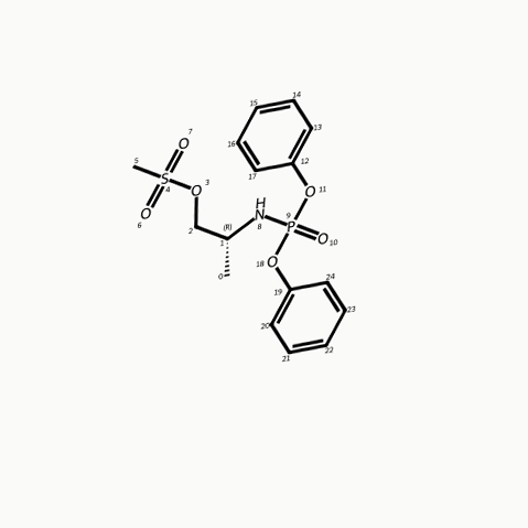 C[C@H](COS(C)(=O)=O)NP(=O)(Oc1ccccc1)Oc1ccccc1